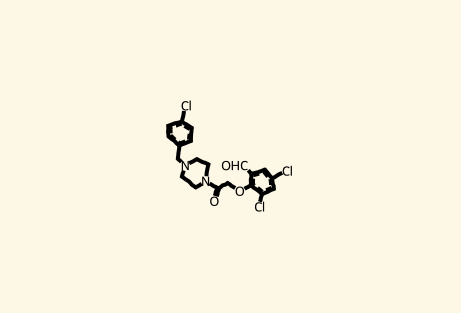 O=Cc1cc(Cl)cc(Cl)c1OCC(=O)N1CCN(Cc2ccc(Cl)cc2)CC1